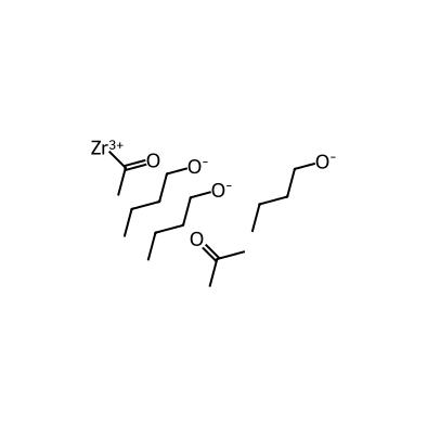 CC(C)=O.CCCC[O-].CCCC[O-].CCCC[O-].C[C](=O)[Zr+3]